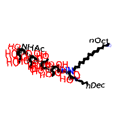 CCCCCCCC/C=C\CCCCCCCCCCCCCC(=O)N[C@@H](CO[C@@H]1OC(CO)[C@@H](O[C@@H]2OC(CO)[C@H](O[C@@H]3OC(CO)[C@H](O)[C@H](O[C@@H]4OC(CO)[C@@H](O)[C@H](O)C4NC(C)=O)C3O)[C@H](O)C2O)[C@H](O)C1O)[C@H](O)/C=C/CCCCCCCCCCCCC